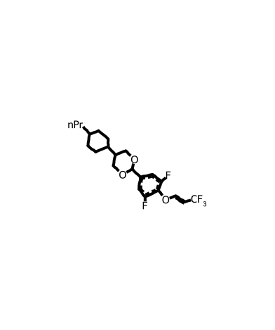 CCCC1CCC(C2COC(c3cc(F)c(O/C=C/C(F)(F)F)c(F)c3)OC2)CC1